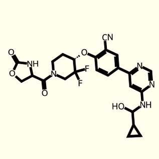 N#Cc1cc(-c2cc(NC(O)C3CC3)ncn2)ccc1O[C@H]1CCN(C(=O)C2COC(=O)N2)CC1(F)F